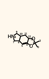 CC1(C)OC2=CC3CNCC3CC2O1